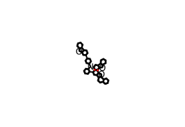 c1ccc(N(c2ccc(-c3ccc4c(c3)oc3ccccc34)cc2)c2ccc3oc4ccccc4c3c2)c(-c2ccc3oc4c5ccccc5ccc4c3c2)c1